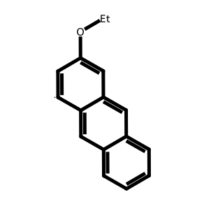 CCOc1c[c]c2cc3ccccc3cc2c1